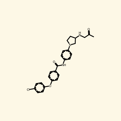 CC(=O)CNC1CCN(c2ccc(NC(=O)c3ccc(Oc4ccc(Cl)cc4)cc3)cc2)C1